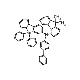 CC1(C)c2ccccc2-c2c(N(c3ccc(-c4ccccc4)cc3)c3ccc4c(c3)[Si](c3ccccc3)(c3ccccc3)c3ccccc3-4)cccc21